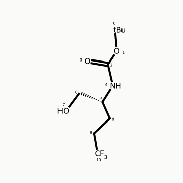 CC(C)(C)OC(=O)N[C@@H](CO)CCC(F)(F)F